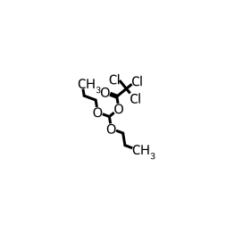 CCCOC(OCCC)OC(=O)C(Cl)(Cl)Cl